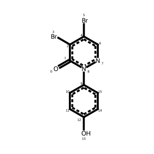 O=c1c(Br)c(Br)cnn1-c1ccc(O)cc1